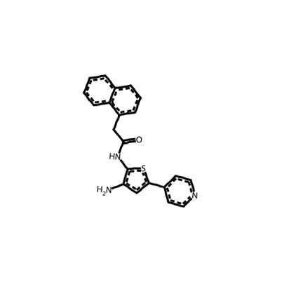 Nc1cc(-c2ccncc2)sc1NC(=O)Cc1cccc2ccccc12